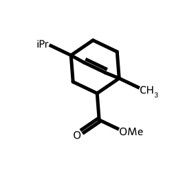 COC(=O)C1CC2(C(C)C)C=CC1(C)CC2